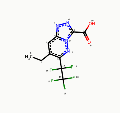 CCc1cc2nnc(C(=O)O)n2nc1C(F)(F)C(F)(F)F